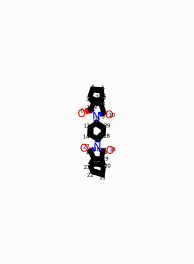 O=C1C2C3C=CC(C3)C2C(=O)N1c1ccc(N2C(=O)C3C4C=CC(C4)C3C2=O)cc1